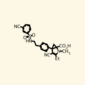 CCC1=C(C#N)C2(c3ccc(CCNS(=O)(=O)c4cccc(C#N)c4)cc3)CC2(C(=O)O)N1C